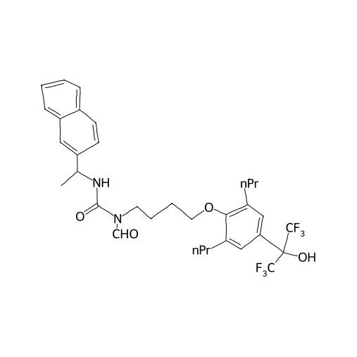 CCCc1cc(C(O)(C(F)(F)F)C(F)(F)F)cc(CCC)c1OCCCCN(C=O)C(=O)NC(C)c1ccc2ccccc2c1